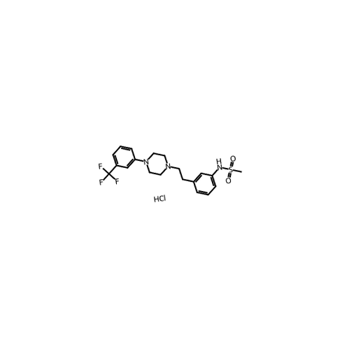 CS(=O)(=O)Nc1cccc(CCN2CCN(c3cccc(C(F)(F)F)c3)CC2)c1.Cl